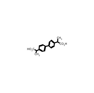 CC(C(=O)O)c1ccc(-c2ccc(C(C)C(=O)O)cc2)cc1